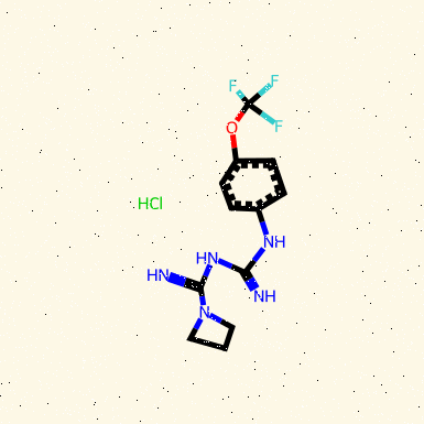 Cl.N=C(NC(=N)N1CCC1)Nc1ccc(OC(F)(F)F)cc1